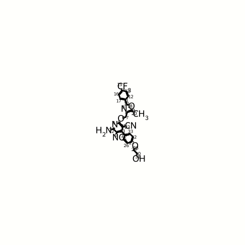 [C-]#[N+]c1c(N)nc(OCc2nc(-c3ccc(C(F)(F)F)cc3)oc2C)c(C#N)c1-c1ccc(OCCO)cc1